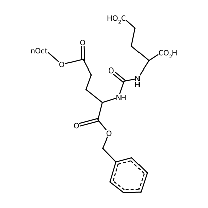 CCCCCCCCOC(=O)CCC(NC(=O)NC(CCC(=O)O)C(=O)O)C(=O)OCc1ccccc1